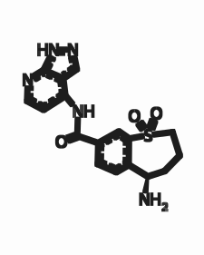 N[C@@H]1CCCS(=O)(=O)c2cc(C(=O)Nc3ccnc4[nH]ncc34)ccc21